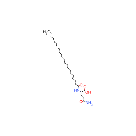 CCCCCCCCCC=CC=CC=CC=CC=CC=CC(=O)N[C@@H](CCC(N)=O)C(=O)O